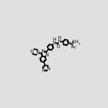 CC(=O)N(C)c1ccc(NC(=O)Nc2ccc(-c3nc(N4CCOCC4)c4ccc(-c5cncnc5)cc4n3)cc2)cc1